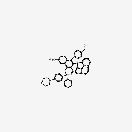 COc1ccc2c3c(c4c(c2c1)OC(c1ccccc1)(c1ccc(N2CCOCC2)cc1)C=C4)C1(c2cc(CO)ccc2-3)c2cccc3ccc4cccc1c4c23